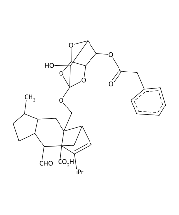 CC(C)C1=CC2CC3(C=O)C4CCC(C)C4CC2(COC24OC5OC(C(OC(=O)Cc6ccccc6)C5O2)C4O)C13C(=O)O